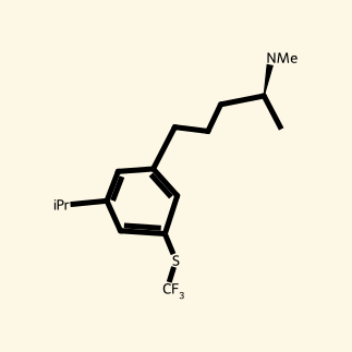 CN[C@@H](C)CCCc1cc(SC(F)(F)F)cc(C(C)C)c1